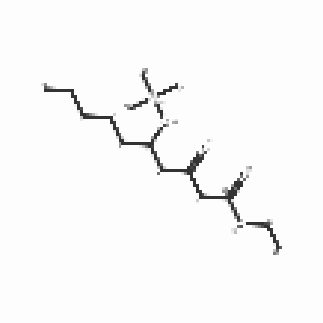 CCCCCC(CC(=O)CC(=O)OCC)O[Si](C)(C)C